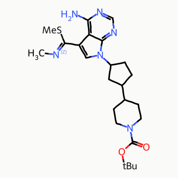 C/N=C(\SC)c1cn(C2CCC(C3CCN(C(=O)OC(C)(C)C)CC3)C2)c2ncnc(N)c12